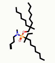 C=CCCN(C)P(=O)(OCC(C)(CCCCCC)CCCCCC)C(C)(CC)CCCCCCC